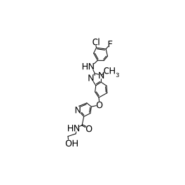 Cn1c(Nc2ccc(F)c(Cl)c2)nc2cc(Oc3ccnc(C(=O)NCCO)c3)ccc21